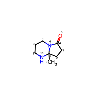 CC12CCC(=O)N1CCCN2